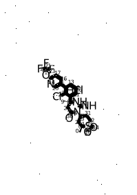 C[C@H]1C[C@@H](N2C(=N)N[C@](C)(c3cccc(-c4ccc(OC(F)(F)F)nc4)c3Cl)CC2=O)CCS1(=O)=O.Cl